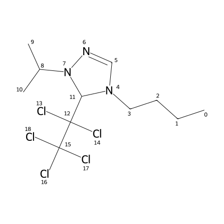 CCCCN1C=NN(C(C)C)C1C(Cl)(Cl)C(Cl)(Cl)Cl